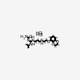 CC(C)N/C(=N/C(N)=O)NCCCNCCOc1cccc2c1OCCO2.Cl.Cl